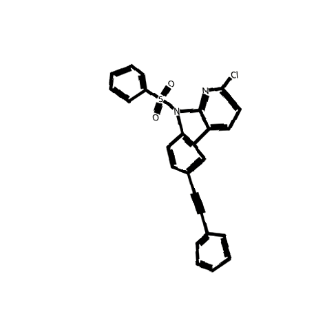 O=S(=O)(c1ccccc1)n1c2ccc(C#Cc3ccccc3)cc2c2ccc(Cl)nc21